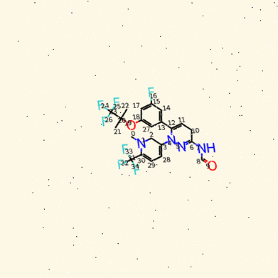 CN1CC(N2N=C(NC=O)CC=C2c2cc(F)cc(OC(C)(C)C(F)(F)F)c2)=CC=C1C(F)(F)F